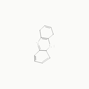 C1=CC2=NC3=C(CC=CC3)NC2C=C1